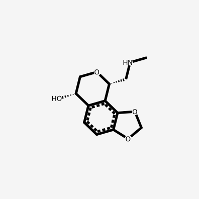 CNC[C@H]1OC[C@@H](O)c2ccc3c(c21)OCO3